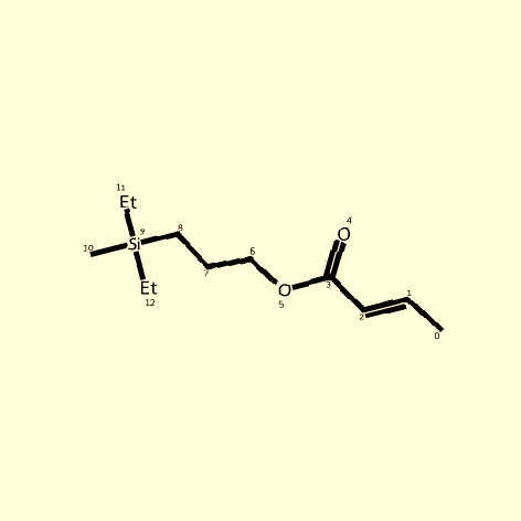 CC=CC(=O)OCCC[Si](C)(CC)CC